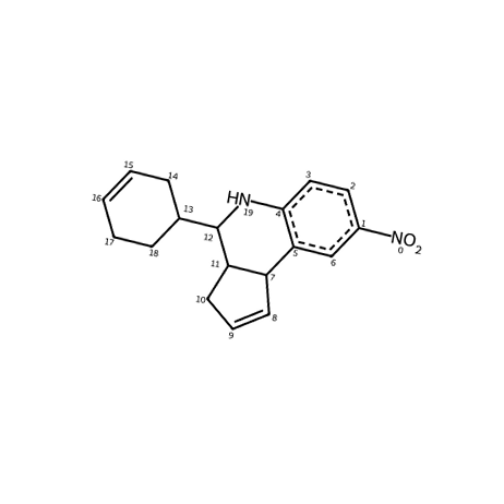 O=[N+]([O-])c1ccc2c(c1)C1C=CCC1C(C1CC=CCC1)N2